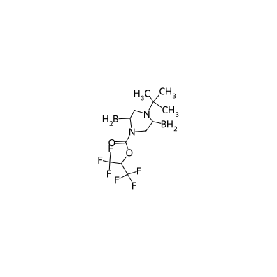 BC1CN(C(C)(C)C)C(B)CN1C(=O)OC(C(F)(F)F)C(F)(F)F